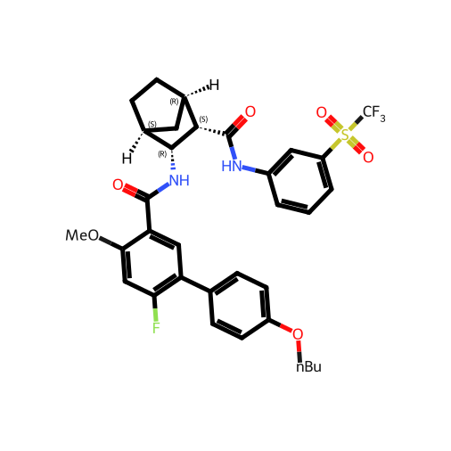 CCCCOc1ccc(-c2cc(C(=O)N[C@@H]3[C@H]4CC[C@H](C4)[C@@H]3C(=O)Nc3cccc(S(=O)(=O)C(F)(F)F)c3)c(OC)cc2F)cc1